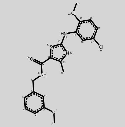 COc1cccc(CNC(=O)c2sc(Nc3cc(Cl)ccc3OC)nc2C)c1